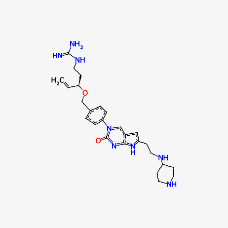 C=C[C@@H](CCNC(=N)N)OCc1ccc(-n2cc3cc(CCNC4CCNCC4)[nH]c3nc2=O)cc1